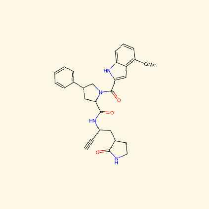 C#CC(CC1CCNC1=O)NC(=O)C1CC(c2ccccc2)CN1C(=O)c1cc2c(OC)cccc2[nH]1